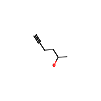 C#CCCC(C)[O]